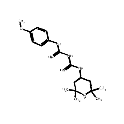 COc1ccc(NC(=N)NC(=N)NC2CC(C)(C)NC(C)(C)C2)cc1